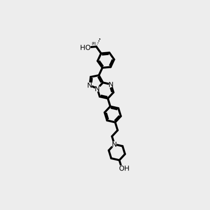 C[C@@H](O)c1cccc(-c2cnn3cc(-c4ccc(CCN5CCC(O)CC5)cc4)cnc23)c1